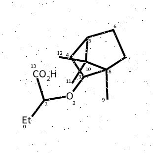 CCC(OC1CC2CCC1(C)C2(C)C)C(=O)O